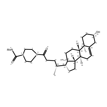 CNC(=O)N1CCN(C(=O)CC[C@@H](C)[C@H]2CC[C@H]3[C@@H]4CC=C5C[C@@H](O)CC[C@]5(C)[C@H]4CC[C@]23C)CC1